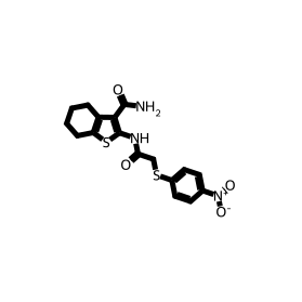 NC(=O)c1c(NC(=O)CSc2ccc([N+](=O)[O-])cc2)sc2c1CCCC2